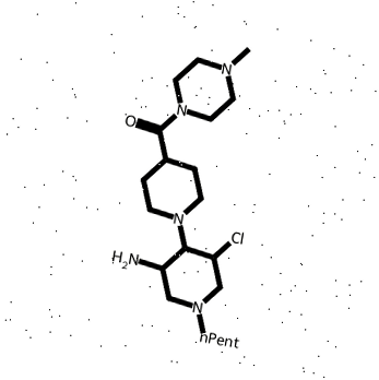 CCCCCN1CC(N)C(N2CCC(C(=O)N3CCN(C)CC3)CC2)C(Cl)C1